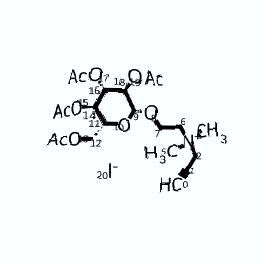 C#CC[N+](C)(C)CCO[C@@H]1O[C@H](COC(C)=O)[C@@H](OC(C)=O)[C@H](OC(C)=O)[C@H]1OC(C)=O.[I-]